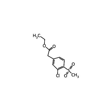 CCOC(=O)Cc1ccc(S(C)(=O)=O)c(Cl)c1